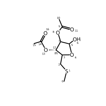 CSCC1OC(O)C(OC(C)=O)[C@H]1OC(C)=O